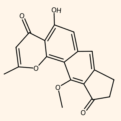 COc1c2c(cc3cc(O)c4c(=O)cc(C)oc4c13)CCC2=O